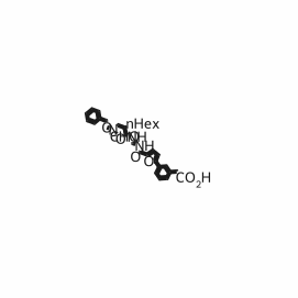 CCCCCC[C@H](CN(C=O)OCc1ccccc1)C(=O)NCNC(=O)c1ccc(-c2cccc(CC(=O)O)c2)o1